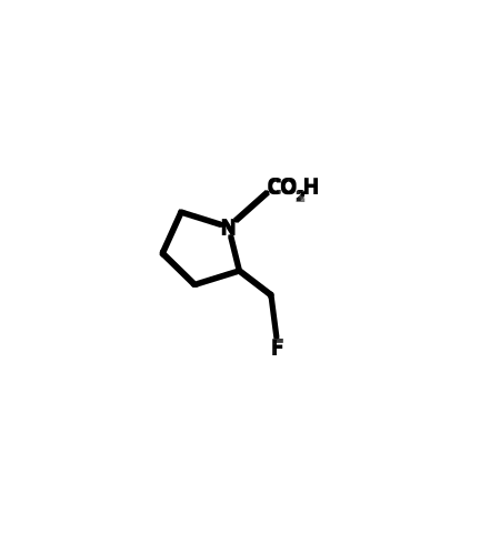 O=C(O)N1CCCC1CF